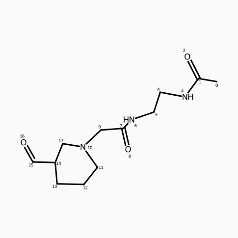 CC(=O)NCCNC(=O)CN1CCCC(C=O)C1